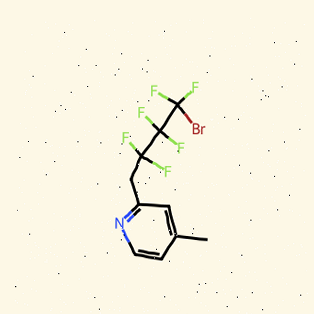 Cc1ccnc(CC(F)(F)C(F)(F)C(F)(F)Br)c1